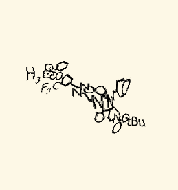 CC(C)(C)OC(=O)N1CCC2(CC1)C(=O)N(Cc1nc(-c3ccc(Oc4ccccc4S(C)(=O)=O)c(C(F)(F)F)c3)no1)C(=O)N2CCC1CCOCC1